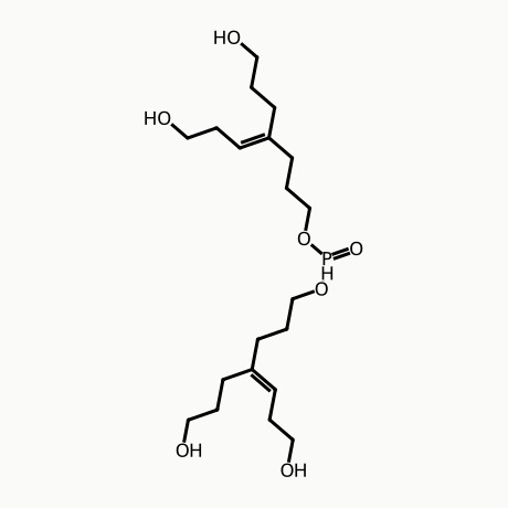 O=[PH](OCCCC(=CCCO)CCCO)OCCCC(=CCCO)CCCO